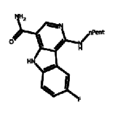 CCCCCNc1ncc(C(N)=O)c2[nH]c3ccc(F)cc3c12